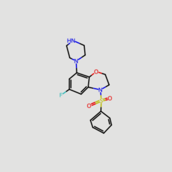 O=S(=O)(c1ccccc1)N1CCOc2c(N3CCNCC3)cc(F)cc21